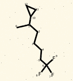 CC(CCCCC(F)(F)F)C1CC1